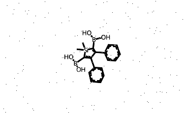 C[Si]1(C)C(B(O)O)=C(c2ccccc2)C(c2ccccc2)=C1B(O)O